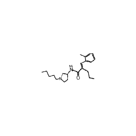 CCCCCN1CC[C@H](NC(=O)/C(=C/c2ccccc2C)CCC)C1